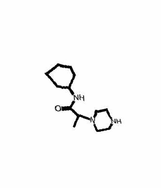 CC(C(=O)NC1CCCCC1)N1CCNCC1